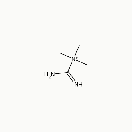 C[N+](C)(C)C(=N)N